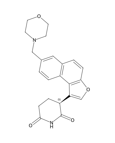 O=C1CC[C@@H](c2coc3ccc4cc(CN5CCOCC5)ccc4c23)C(=O)N1